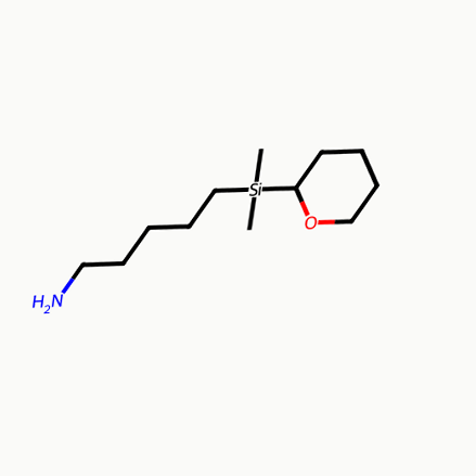 C[Si](C)(CCCCCN)C1CCCCO1